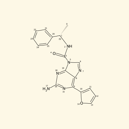 C[C@H](NC(=O)n1cnc2c(-c3ccco3)nc(N)nc21)c1ccccc1